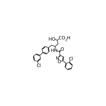 O=C(NC(Cc1ccc(-c2cccc(Cl)c2)cc1)CC(O)C(=O)O)c1cc(-c2ccccc2Cl)on1